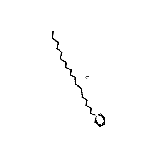 CCCCCCCCCCCCCCCCCC[n+]1ccccc1.[Cl-]